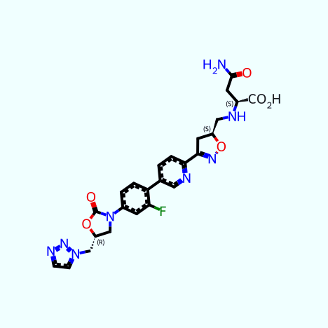 NC(=O)C[C@H](NC[C@@H]1CC(c2ccc(-c3ccc(N4C[C@H](Cn5ccnn5)OC4=O)cc3F)cn2)=NO1)C(=O)O